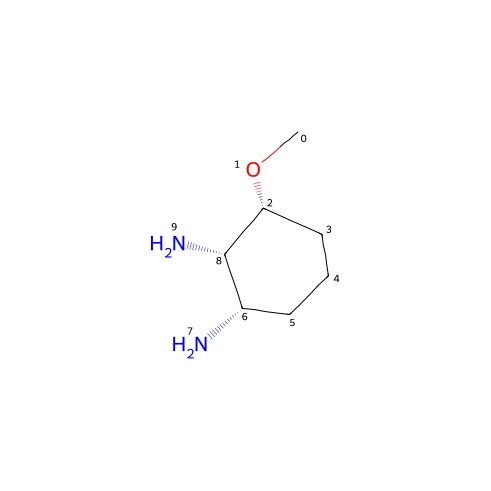 CO[C@@H]1CCC[C@H](N)[C@@H]1N